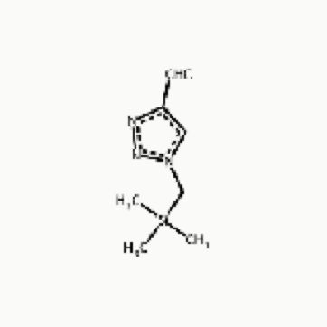 C[Si](C)(C)Cn1cc(C=O)nn1